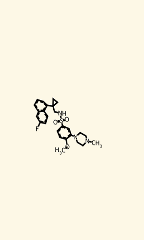 COc1ccc(S(=O)(=O)NCC2(c3cccc4cc(F)ccc34)CC2)cc1N1CCN(C)CC1